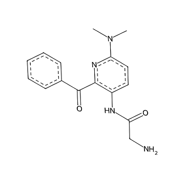 CN(C)c1ccc(NC(=O)CN)c(C(=O)c2ccccc2)n1